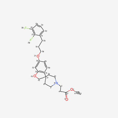 CC(C)(C)OC(=O)CCN1CCC2(CC1)COc1cc(OCCCc3cccc(F)c3F)ccc12